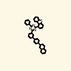 c1ccc(-c2nc(-c3cccc(-c4ccc(-c5ccc6ccccc6c5)cc4)c3)nc(-c3cccc4sc5ccccc5c34)n2)cc1